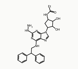 CCC(=O)NC1CC(n2cnc3c(NCC(c4ccccc4)c4ccccc4)nc(NN)nc32)C(O)C1O